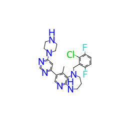 Cc1c(-c2cc(N3CCNCC3)ncn2)cnc2c1N(Cc1c(F)ccc(F)c1Cl)CCCN2